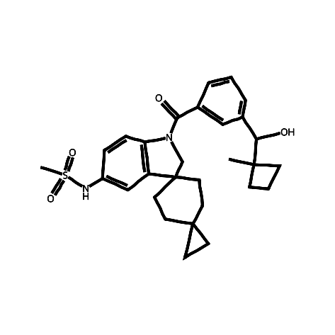 CC1(C(O)c2cccc(C(=O)N3CC4(CCC5(CC5)CC4)c4cc(NS(C)(=O)=O)ccc43)c2)CCC1